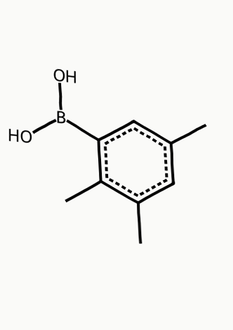 Cc1cc(C)c(C)c(B(O)O)c1